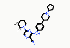 C[C@@H]1CCCN(c2cnc(C#N)c(Nc3ccc(C4CCN(C5CCCC5)CC4)cc3)n2)[C@@H]1C